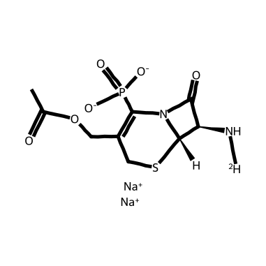 [2H]N[C@@H]1C(=O)N2C(P(=O)([O-])[O-])=C(COC(C)=O)CS[C@@H]12.[Na+].[Na+]